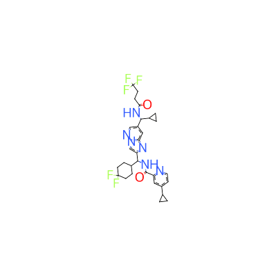 O=C(CCC(F)(F)F)N[C@@H](c1cnn2cc([C@@H](NC(=O)c3cc(C4CC4)ccn3)C3CCC(F)(F)CC3)nc2c1)C1CC1